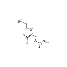 C=CC(C)CCC(OCCC(C)C)=C(C)C